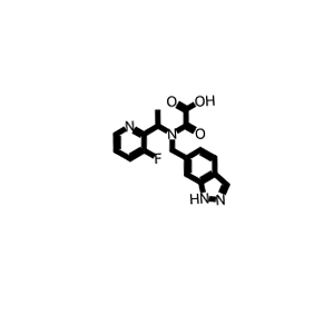 CC(c1ncccc1F)N(Cc1ccc2cn[nH]c2c1)C(=O)C(=O)O